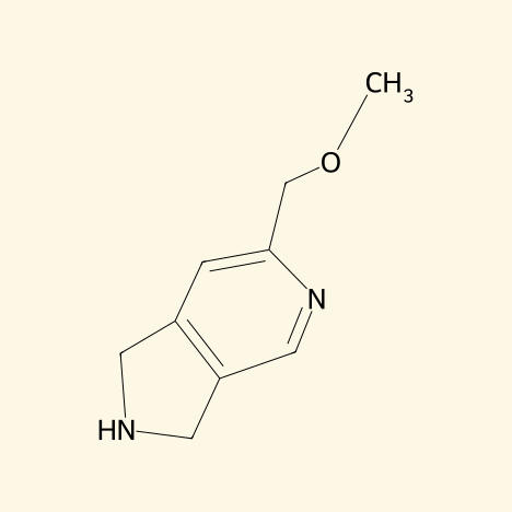 COCc1cc2c(cn1)CNC2